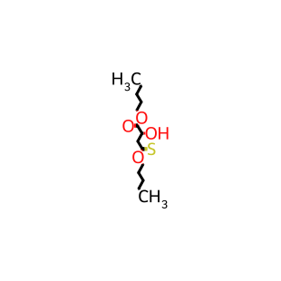 CCCCCOC(=O)C(O)CC(=S)OCCCCC